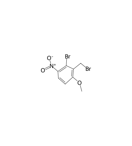 COc1ccc([N+](=O)[O-])c(Br)c1CBr